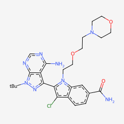 CC(C)(C)n1nc(-c2c(Cl)c3ccc(C(N)=O)cc3n2CCOCCN2CCOCC2)c2c(N)ncnc21